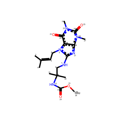 CC(C)=CCn1c(NCC(C)(C)NC(=O)OC(C)(C)C)nc2c1c(=O)n(C)c(=O)n2C